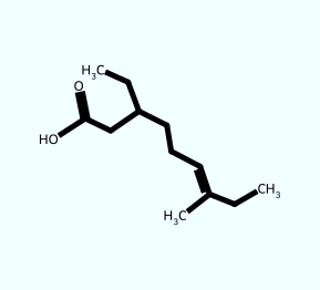 CCC(C)=CCCC(CC)CC(=O)O